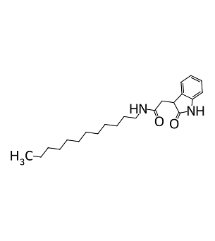 CCCCCCCCCCCCNC(=O)CC1C(=O)Nc2ccccc21